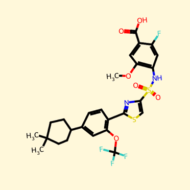 COc1cc(C(=O)O)c(F)cc1NS(=O)(=O)c1csc(-c2ccc(C3CCC(C)(C)CC3)cc2OC(F)(F)F)n1